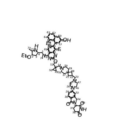 CCOC1CC(CN(C)c2nc(OCC3(CN4CCC5(CC4)CC(CN4CCN(c6ccc7c(c6)CN([C@H]6CCC(=O)NC6=O)C7=O)CC4)C5)CC3)nc3c(F)c(-c4cc(O)cc5cccc(CC)c45)ncc23)NC1C